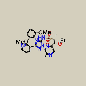 CCO[C@H](c1cnc(C)cn1)[C@@H](C)S(=O)(=O)Nc1nnc(-c2cccnc2)n1-c1c(OC)cccc1OC